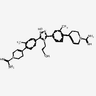 Cl.N=C(N)N1CC=C(c2ccc(-c3nnc(-c4ccc(C5=CCN(C(=N)N)CC5)c(C(F)(F)F)c4)n3CCO)cc2C(F)(F)F)CC1